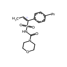 C/C=C(/c1ccc(C(C)C)cc1)S(=O)(=O)NC(=O)N1CCOCC1